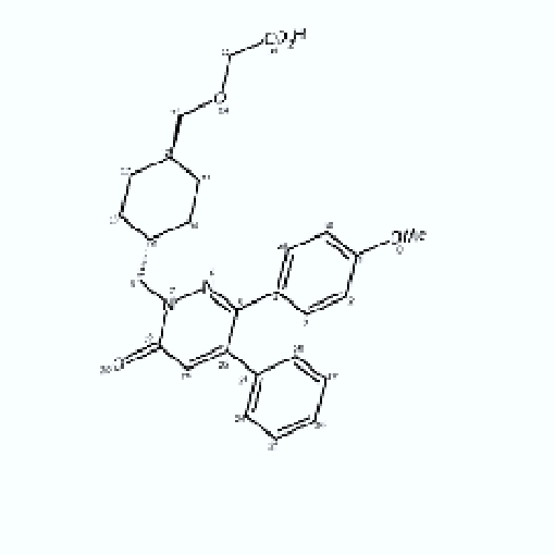 COc1ccc(-c2nn(C[C@H]3CC[C@H](COCC(=O)O)CC3)c(=O)cc2-c2ccccc2)cc1